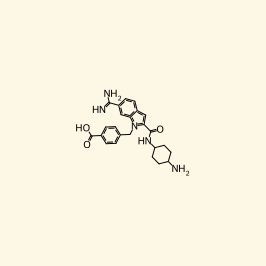 N=C(N)c1ccc2cc(C(=O)NC3CCC(N)CC3)n(Cc3ccc(C(=O)O)cc3)c2c1